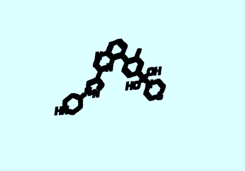 Cc1cc(C(O)(O)N2CCSCC2)ccc1-c1cccc2ncc(-c3cnn(C4CCNCC4)c3)nc12